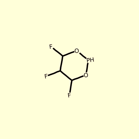 FC1OPOC(F)C1F